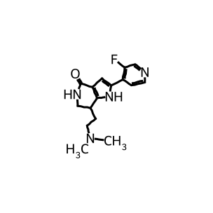 CN(C)CCC1CNC(=O)c2cc(-c3ccncc3F)[nH]c21